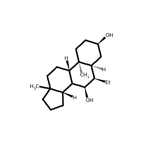 CC[C@H]1[C@@H](O)C2[C@@H]3CCCC3(C)CC[C@@H]2[C@@]2(C)CC[C@@H](O)C[C@@H]12